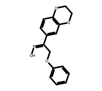 O/N=C(\COc1ccccc1)c1ccc2c(c1)OCCO2